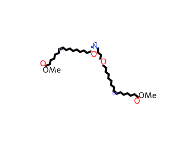 COC(=O)CCCCC/C=C\CCCCCCCCOCCC(CN(C)C)OCCCCCCCC/C=C\CCCCCC(=O)OC